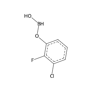 OBOc1cccc(Cl)c1F